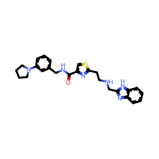 O=C(NCc1cccc(N2CCCC2)c1)c1csc(CCNCc2nc3ccccc3[nH]2)n1